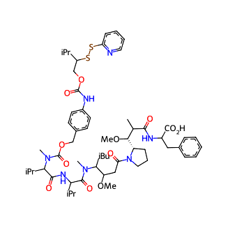 CCC(C)C(C(CC(=O)N1CCC[C@H]1C(OC)C(C)C(=O)NC(Cc1ccccc1)C(=O)O)OC)N(C)C(=O)C(NC(=O)C(C(C)C)N(C)C(=O)OCc1ccc(NC(=O)OCC(SSc2ccccn2)C(C)C)cc1)C(C)C